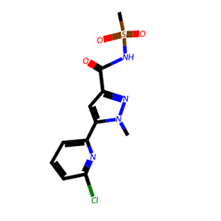 Cn1nc(C(=O)NS(C)(=O)=O)cc1-c1cccc(Cl)n1